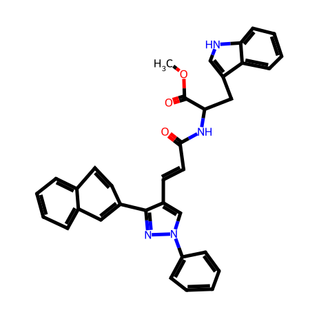 COC(=O)C(Cc1c[nH]c2ccccc12)NC(=O)/C=C/c1cn(-c2ccccc2)nc1-c1ccc2ccccc2c1